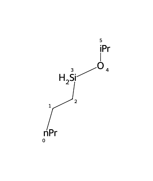 CCCCC[SiH2]OC(C)C